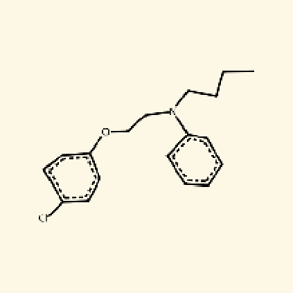 CCCCN(CCOc1ccc(Cl)cc1)c1ccccc1